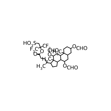 CC(CCC(=O)OC(CS(=O)(=O)O)(C(F)(F)F)C(F)(F)F)C1CCC2C3C(OC=O)CC4CC(OC=O)CCC4(C)C3CC(OC=O)C12C